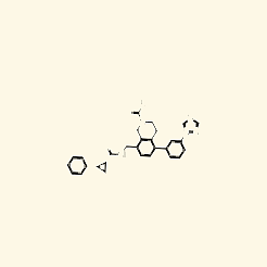 CC(C)(C)NC(=O)N1CCc2c(-c3cccc(-n4cncn4)c3)ccc(CNC(=O)[C@H]3C[C@@H]3c3ccccc3)c2C1